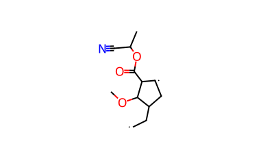 [CH2]CC1C[CH]C(C(=O)OC(C)C#N)C1OC